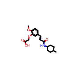 COc1ccc(/C=C/C(=O)NC2CCC(C)CC2)cc1OCC(=O)O